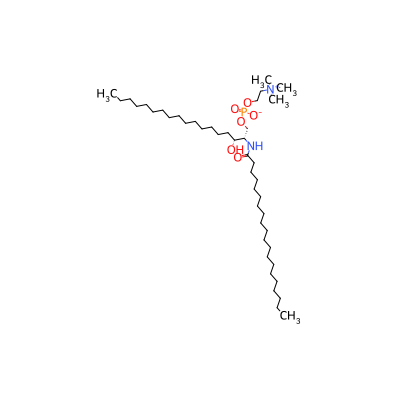 CCCCCCCCCCCCCCCCCCCC(=O)N[C@@H](COP(=O)([O-])OCC[N+](C)(C)C)[C@H](O)CCCCCCCCCCCCCCC